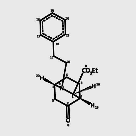 CCOC(=O)[C@H]1[C@@H]2CC[C@@H](CC2=O)N1CCc1ccccc1